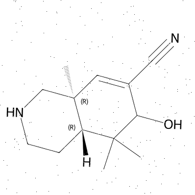 CC1(C)C(O)C(C#N)=C[C@]2(C)CNCC[C@@H]12